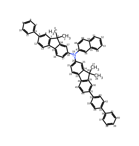 CC1(C)c2cc(-c3ccccc3)ccc2-c2ccc(N(c3ccc4c(c3)C(C)(C)c3cc(-c5ccc(-c6ccccc6)cc5)ccc3-4)c3ccc4ccccc4c3)cc21